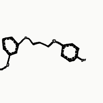 COc1cccc(OCCCOc2ccc(O)cc2)c1